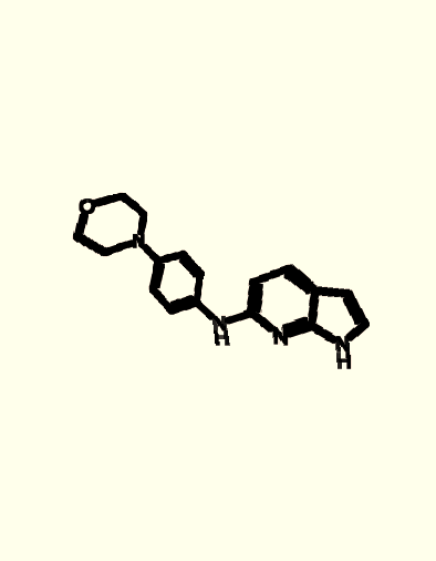 c1cc2ccc(Nc3ccc(N4CCOCC4)cc3)nc2[nH]1